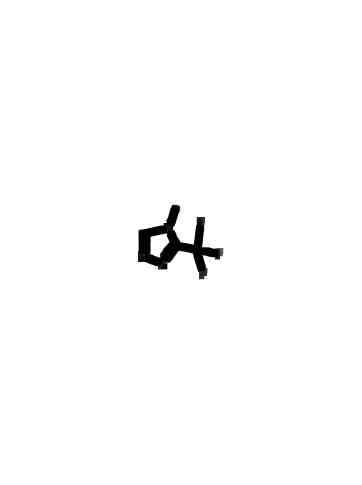 Cn1cnnc1C(F)(F)F